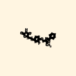 Cc1oc(-c2ccccc2)nc1COc1ccc(CCCC2OC(=O)NC2=O)cc1F